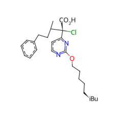 CC[C@H](C)CCCCCOc1nccc([C@](Cl)(C(=O)O)C(C)CCc2ccccc2)n1